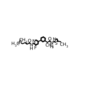 CCc1cnc(NC(=O)C(C)c2cccc(-c3cnc(NC(=O)/C=C/CN(C)C)c(F)c3)c2)s1